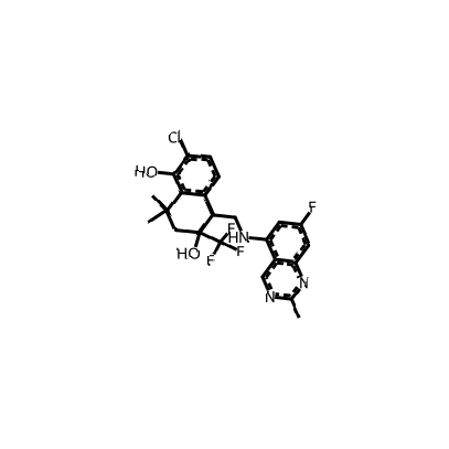 Cc1ncc2c(NCC3c4ccc(Cl)c(O)c4C(C)(C)CC3(O)C(F)(F)F)cc(F)cc2n1